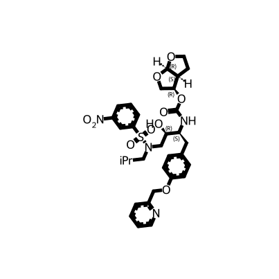 CC(C)CN(C[C@@H](O)[C@H](Cc1ccc(OCc2ccccn2)cc1)NC(=O)O[C@H]1CO[C@H]2OCC[C@H]21)S(=O)(=O)c1cccc([N+](=O)[O-])c1